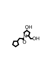 O=C(CC1CCCC1)N1C[C@H](O)CC1CO